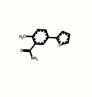 Cc1ccc(-c2ccco2)cc1C(N)=O